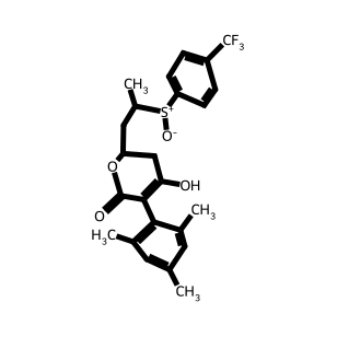 Cc1cc(C)c(C2=C(O)CC(CC(C)[S+]([O-])c3ccc(C(F)(F)F)cc3)OC2=O)c(C)c1